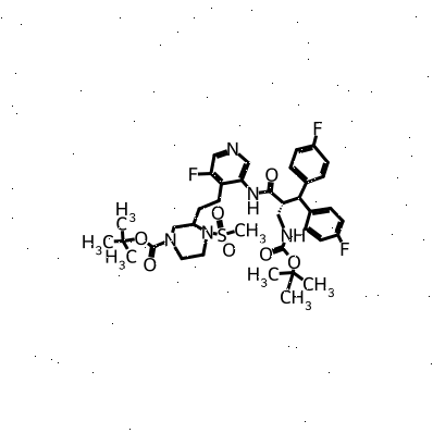 CC(C)(C)OC(=O)NC[C@H](C(=O)Nc1cncc(F)c1CCC1CN(C(=O)OC(C)(C)C)CCN1S(C)(=O)=O)C(c1ccc(F)cc1)c1ccc(F)cc1